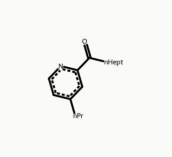 CCCCCCCC(=O)c1cc(CCC)ccn1